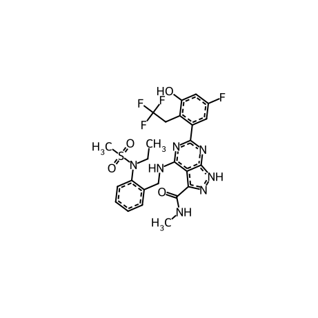 CCN(c1ccccc1CNc1nc(-c2cc(F)cc(O)c2CC(F)(F)F)nc2[nH]nc(C(=O)NC)c12)S(C)(=O)=O